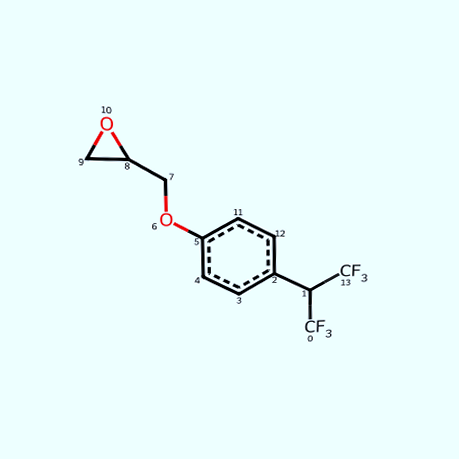 FC(F)(F)C(c1ccc(OCC2CO2)cc1)C(F)(F)F